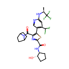 C[C@H](Nc1cc(C(F)F)c(-c2sc(C(=O)N[C@H]3CCC[C@@H]3O)nc2C(=O)N2C3CCC2CC3)cn1)C(F)(F)F